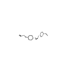 C=CCC[C@H]1CC[C@H](C/C=C\C[C@H]2CC[C@H](CC)CC2)CC1